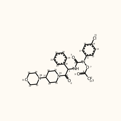 O=C(C(NC(=O)N(OC(=O)C(F)(F)F)c1ccc(Cl)cc1)c1ccccc1)N1CCC(N2CCOCC2)CC1